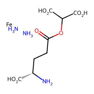 N.N.N[C@@H](CCC(=O)OC(C(=O)O)C(=O)O)C(=O)O.[Fe]